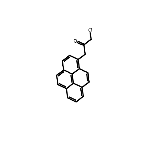 O=C(CCl)Cc1ccc2ccc3cccc4ccc1c2c34